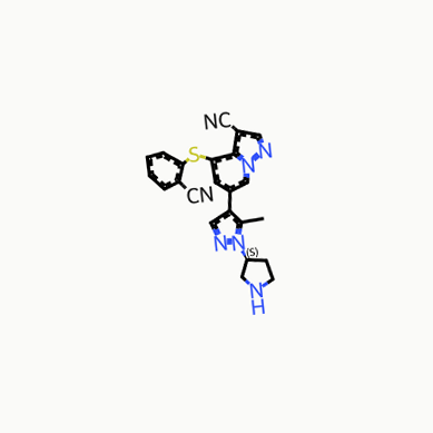 Cc1c(-c2cc(Sc3ccccc3C#N)c3c(C#N)cnn3c2)cnn1[C@H]1CCNC1